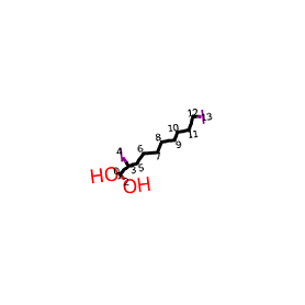 OC(O)C(I)CCCCCCCCI